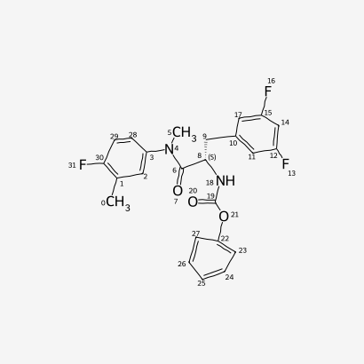 Cc1cc(N(C)C(=O)[C@H](Cc2cc(F)cc(F)c2)NC(=O)Oc2ccccc2)ccc1F